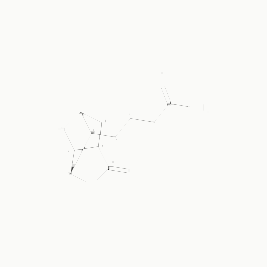 C=C(C)CCCC1C2CC3C(=O)OC1C3C2